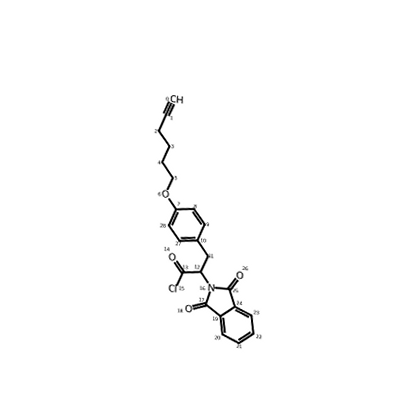 C#CCCCCOc1ccc(CC(C(=O)Cl)N2C(=O)c3ccccc3C2=O)cc1